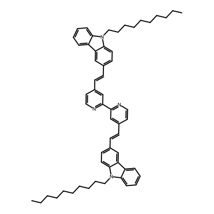 CCCCCCCCCCn1c2ccccc2c2cc(C=Cc3ccnc(-c4cc(C=Cc5ccc6c(c5)c5ccccc5n6CCCCCCCCCC)ccn4)c3)ccc21